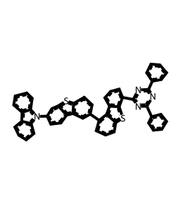 c1ccc(-c2nc(-c3ccccc3)nc(-c3cccc4c3sc3cccc(-c5ccc6sc7cc(-n8c9ccccc9c9ccccc98)ccc7c6c5)c34)n2)cc1